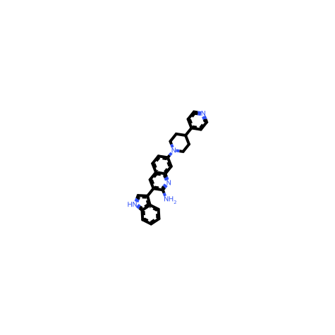 Nc1nc2cc(N3CCC(c4ccncc4)CC3)ccc2cc1-c1c[nH]c2ccccc12